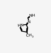 Cc1cc[nH]/c(=N\C=N)c1